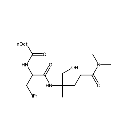 CCCCCCCCC(=O)NC(CC(C)C)C(=O)NC(C)(CO)CCC(=O)N(C)C